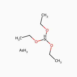 CCO[SiH](OCC)OCC.[AsH3]